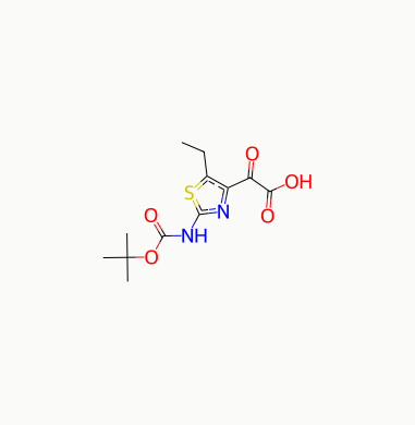 CCc1sc(NC(=O)OC(C)(C)C)nc1C(=O)C(=O)O